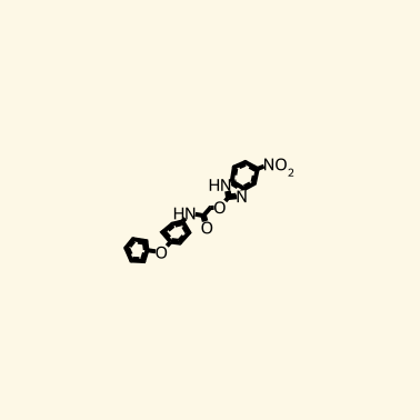 O=C(COc1nc2cc([N+](=O)[O-])ccc2[nH]1)Nc1ccc(Oc2ccccc2)cc1